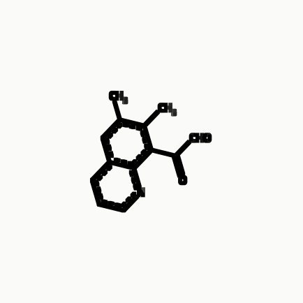 Cc1cc2cccnc2c(C(=O)C=O)c1C